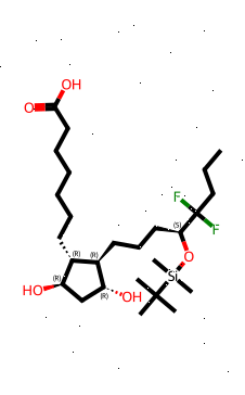 CCCC(F)(F)[C@H](CCC[C@@H]1[C@@H](CCCCCCC(=O)O)[C@H](O)C[C@H]1O)O[Si](C)(C)C(C)(C)C